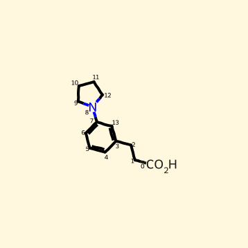 O=C(O)CCc1cccc(N2CCCC2)c1